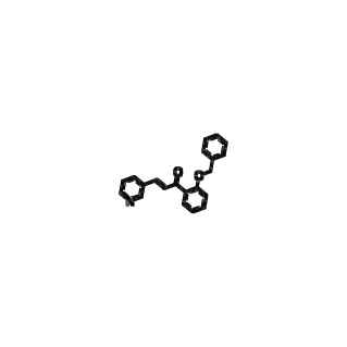 O=C(C=Cc1cccnc1)c1ccccc1OCc1ccccc1